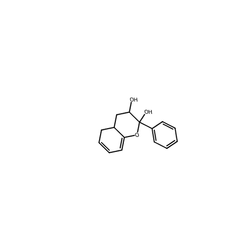 OC1CC2CC=CC=C2OC1(O)c1ccccc1